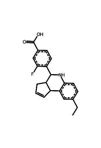 CCc1ccc2c(c1)C1C=CCC1C(c1ccc(C(=O)O)cc1F)N2